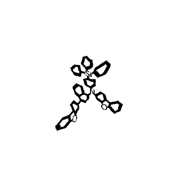 c1ccc([Si](c2ccccc2)(c2ccccc2)c2ccc(N(c3ccc4c(c3)oc3ccccc34)c3ccc(-c4ccc5c(c4)oc4ccccc45)c4ccccc34)cc2)cc1